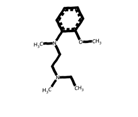 CCN(C)CCN(C)c1ccccc1OC